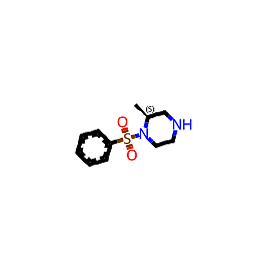 C[C@H]1CNCCN1S(=O)(=O)c1ccccc1